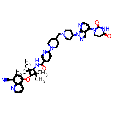 CC1(C)C(NC(=O)c2ccc(N3CCC(CN4CCC(n5ncc6c(N7CCC(=O)NC7=O)ccnc65)CC4)CC3)nc2)C(C)(C)C1Oc1ccc(C#N)c2ncccc12